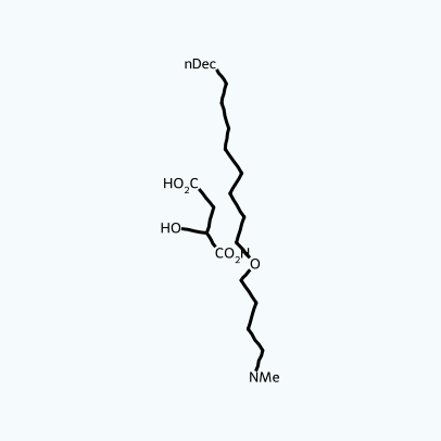 CCCCCCCCCCCCCCCCCCOCCCCNC.O=C(O)CC(O)C(=O)O